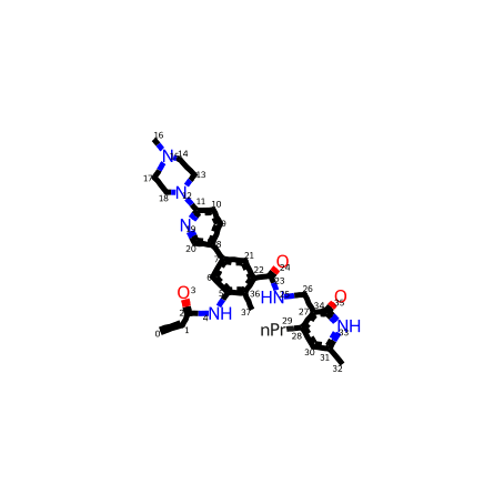 C=CC(=O)Nc1cc(-c2ccc(N3CCN(C)CC3)nc2)cc(C(=O)NCc2c(CCC)cc(C)[nH]c2=O)c1C